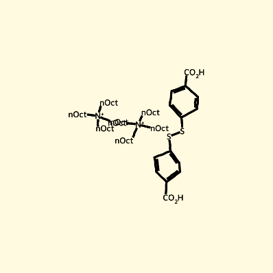 CCCCCCCC[N+](CCCCCCCC)(CCCCCCCC)CCCCCCCC.CCCCCCCC[N+](CCCCCCCC)(CCCCCCCC)CCCCCCCC.O=C(O)c1ccc(SSc2ccc(C(=O)O)cc2)cc1